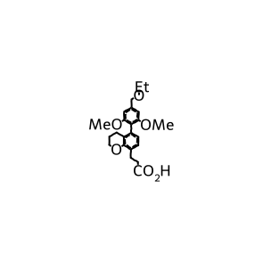 CCOCc1cc(OC)c(-c2ccc(CCC(=O)O)c3c2CCCO3)c(OC)c1